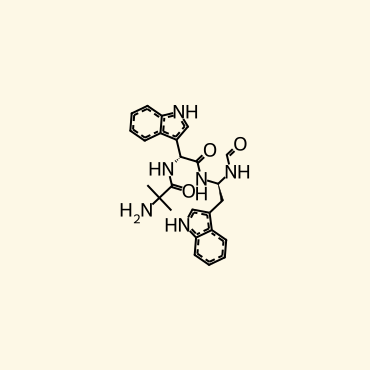 CC(C)(N)C(=O)N[C@@H](C(=O)N[C@H](Cc1c[nH]c2ccccc12)NC=O)c1c[nH]c2ccccc12